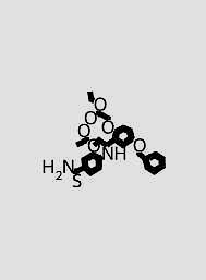 CCOC(=O)COc1ccc(OCc2ccccc2)cc1C(COC(C)=O)Nc1ccc(C(N)=S)cc1